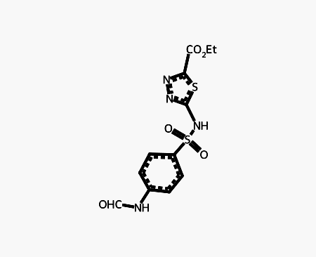 CCOC(=O)c1nnc(NS(=O)(=O)c2ccc(NC=O)cc2)s1